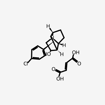 O=C(O)C=CC(=O)O.OC1CN2[C@H]3CC[C@@H]2[C@@H]1[C@@H](c1ccc(Cl)cc1)C3